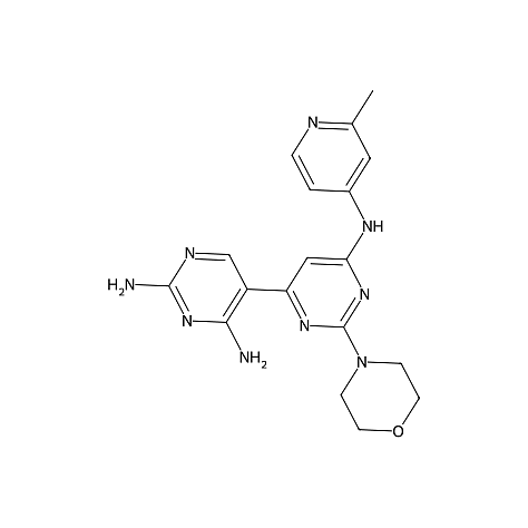 Cc1cc(Nc2cc(-c3cnc(N)nc3N)nc(N3CCOCC3)n2)ccn1